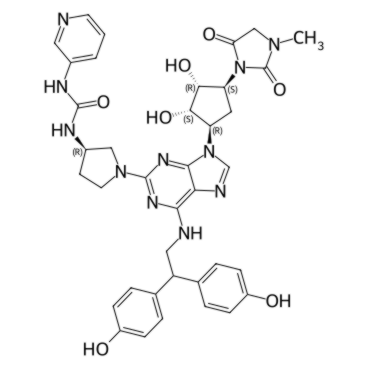 CN1CC(=O)N([C@H]2C[C@@H](n3cnc4c(NCC(c5ccc(O)cc5)c5ccc(O)cc5)nc(N5CC[C@@H](NC(=O)Nc6cccnc6)C5)nc43)[C@H](O)[C@@H]2O)C1=O